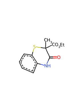 CCOC(=O)C1(C)Sc2ccccc2NC1=O